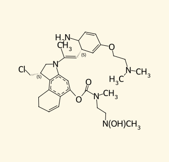 CC(=C[C@H]1C=C(OCCN(C)C)C=CC1N)N1C[C@@H](CCl)c2c1cc(OC(=O)N(C)CCN(C)O)c1c2CCC=C1